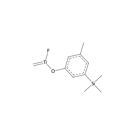 [CH2]=[Ti]([F])[O]c1cc(C)cc([Si](C)(C)C)c1